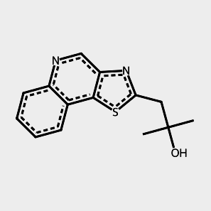 CC(C)(O)Cc1nc2cnc3ccccc3c2s1